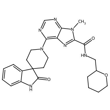 Cn1c(C(=O)NCC2CCCCO2)nc2c(N3CCC4(CC3)C(=O)Nc3ccccc34)ncnc21